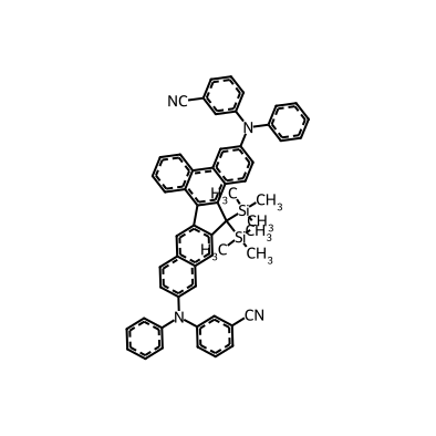 C[Si](C)(C)C1([Si](C)(C)C)c2cc3cc(N(c4ccccc4)c4cccc(C#N)c4)ccc3cc2-c2c1c1ccc(N(c3ccccc3)c3cccc(C#N)c3)cc1c1ccccc21